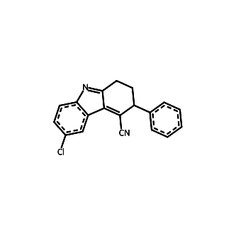 N#CC1=C2C(=Nc3ccc(Cl)cc32)CCC1c1ccccc1